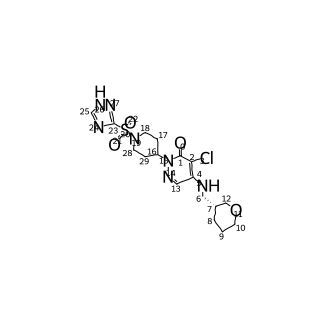 O=c1c(Cl)c(NC[C@H]2CCCOC2)cnn1C1CCN(S(=O)(=O)c2nc[nH]n2)CC1